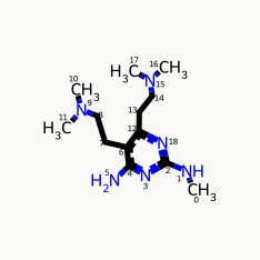 CNc1nc(N)c(CCN(C)C)c(CCN(C)C)n1